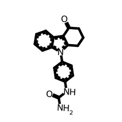 NC(=O)Nc1ccc(-n2c3c(c4ccccc42)C(=O)CCC3)cc1